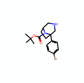 CC(C)(C)OC(=O)N1C2CCC1(c1ccc(Br)cc1)CNC2